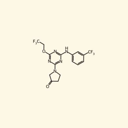 O=C1CCN(c2nc(Nc3cccc(C(F)(F)F)c3)nc(OCC(F)(F)F)n2)C1